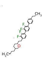 C=CCCC1CCC(CCc2ccc(-c3ccc(-c4ccc(CCC)cc4)c(F)c3F)c(F)c2F)OC1